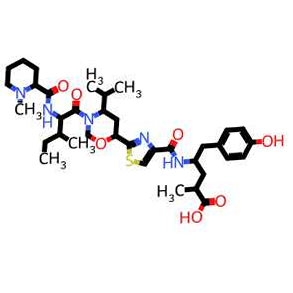 CCC(C)C(NC(=O)C1CCCCN1C)C(=O)N1COC(c2nc(C(=O)NC(Cc3ccc(O)cc3)CC(C)C(=O)O)cs2)CC1C(C)C